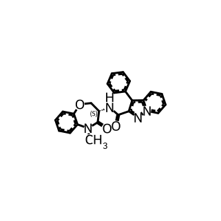 CN1C(=O)[C@@H](NC(=O)c2nn3ccccc3c2-c2ccccc2)COc2ccccc21